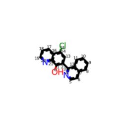 Oc1c(-c2nccc3ccccc23)cc(Cl)c2cccnc12